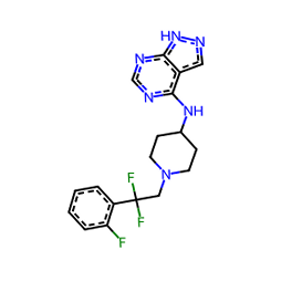 Fc1ccccc1C(F)(F)CN1CCC(Nc2ncnc3[nH]ncc23)CC1